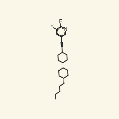 CCCCC[C@H]1CC[C@H](C2CCC(C#Cc3cnc(F)c(F)c3)CC2)CC1